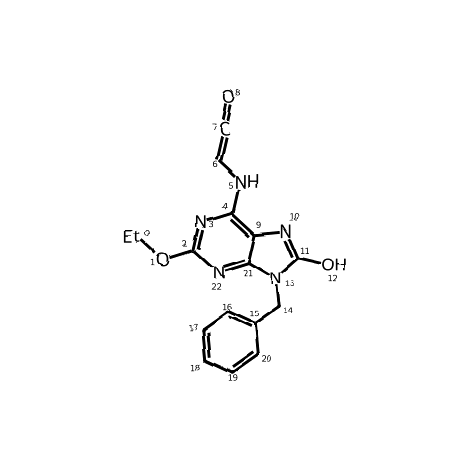 CCOc1nc(NC=C=O)c2nc(O)n(Cc3ccccc3)c2n1